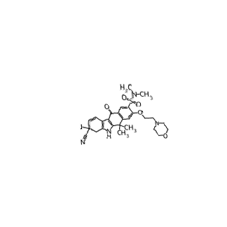 CN(C)S(=O)(=O)c1cc2c(cc1OCCN1CCOCC1)C(C)(C)c1[nH]c3c(c1C2=O)C=CC(I)(C#N)C3